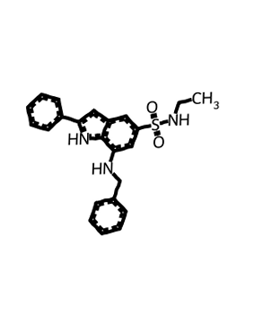 CCNS(=O)(=O)c1cc(NCc2ccccc2)c2[nH]c(-c3ccccc3)cc2c1